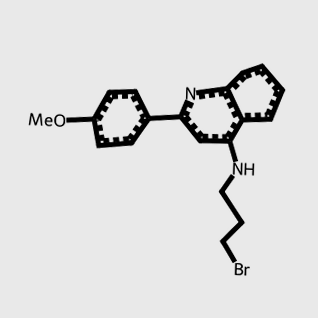 COc1ccc(-c2cc(NCCCBr)c3ccccc3n2)cc1